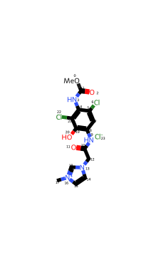 COC(=O)Nc1c(Cl)cc(NC(=O)Cn2cc[n+](C)c2)c(O)c1Cl.[Cl-]